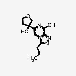 CCCc1nnc2c(O)nc(C3(O)CCOC3)cn12